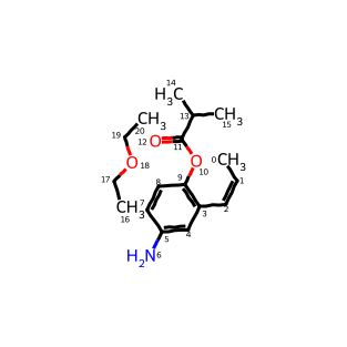 C/C=C\c1cc(N)ccc1OC(=O)C(C)C.CCOCC